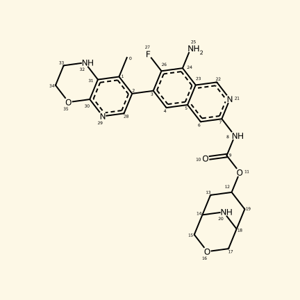 Cc1c(-c2cc3cc(NC(=O)OC4CC5COCC(C4)N5)ncc3c(N)c2F)cnc2c1NCCO2